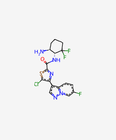 N[C@H]1CCCC(F)(F)[C@@H]1NC(=O)c1nc(-c2cnn3cc(F)ccc23)c(Cl)s1